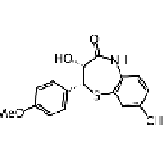 COc1ccc([C@H]2Sc3cc(C)ccc3NC(=O)[C@H]2O)cc1